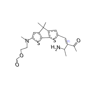 CC(=O)/C(=C/c1cc2c(s1)-c1sc(N(C)CCOC=O)cc1C2(C)C)C(C)N